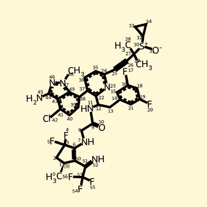 C[C@H]1CC(F)(F)C(NCC(=O)NC(Cc2cc(F)cc(F)c2)c2nc(C#CC(C)(C)[S+]([O-])C3CC3)ccc2-c2ccc(Cl)c3c(N)nn(C)c23)=C1C(=N)C(F)(F)F